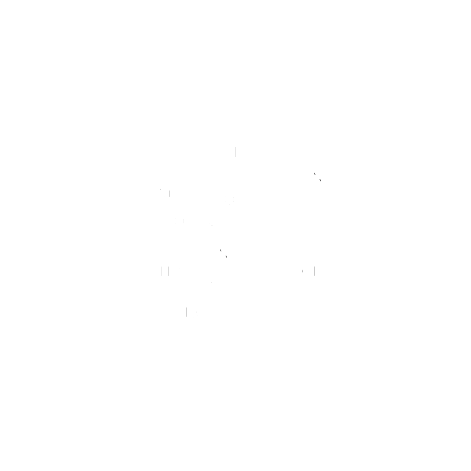 CC(C)(C)OC(=O)N1[C@H](C(O)c2cncc(F)c2)CC1(C)C